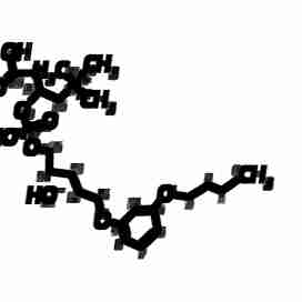 CCCCOc1cccc(OCCCCCOP(=O)(O)OC(CC(=O)O)C[N+](C)(C)C)c1.[OH-]